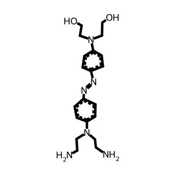 NCCN(CCN)c1ccc(N=Nc2ccc(N(CCO)CCO)cc2)cc1